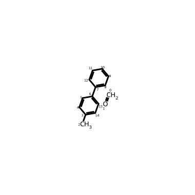 C=O.Cc1ccc(-c2ccccc2)cc1